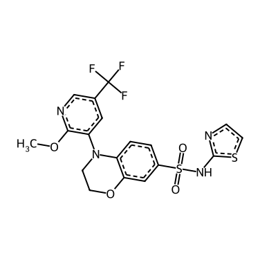 COc1ncc(C(F)(F)F)cc1N1CCOc2cc(S(=O)(=O)Nc3nccs3)ccc21